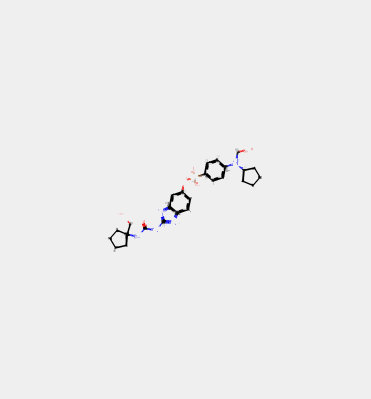 O=C(Nc1nc2ccc(OS(=O)(=O)c3ccc(N(CO)C4CCCC4)cc3)cc2[nH]1)NC1(CO)CCCC1